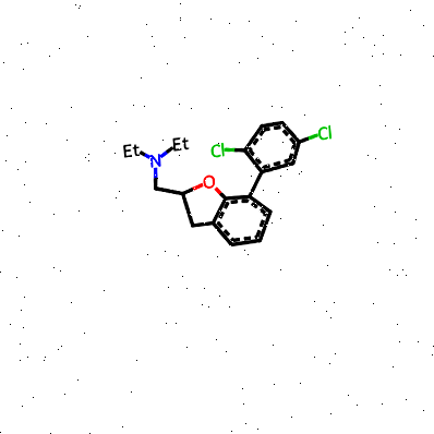 CCN(CC)CC1Cc2cccc(-c3cc(Cl)ccc3Cl)c2O1